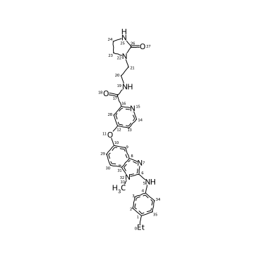 CCc1ccc(Nc2nc3cc(Oc4ccnc(C(=O)NCCN5CCNC5=O)c4)ccc3n2C)cc1